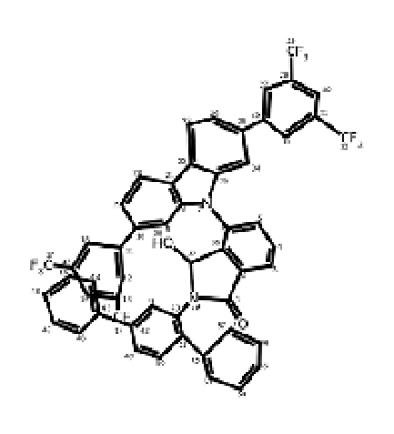 O=C1c2cccc(-n3c4cc(-c5cc(C(F)(F)F)cc(C(F)(F)F)c5)ccc4c4ccc(-c5cc(C(F)(F)F)cc(C(F)(F)F)c5)cc43)c2C(O)N1c1cc(-c2ccccc2)ccc1-c1ccccc1